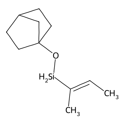 CC=C(C)[SiH2]OC12CCC(CC1)C2